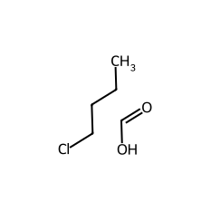 CCCCCl.O=CO